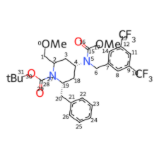 COCC1C[C@H](N(Cc2cc(C(F)(F)F)cc(C(F)(F)F)c2)C(=O)OC)C[C@H](Cc2ccccc2)N1C(=O)OC(C)(C)C